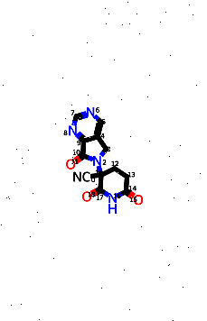 N#CC1(N2Cc3cncnc3C2=O)CCC(=O)NC1=O